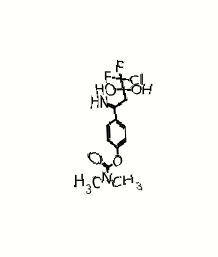 CN(C)C(=O)Oc1ccc(C(=N)CC(O)(O)C(F)(F)Cl)cc1